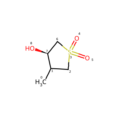 CC1CS(=O)(=O)C[C@@H]1O